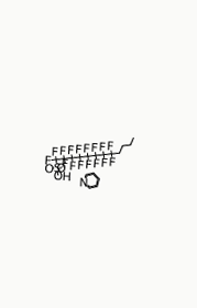 CCCCC(F)(F)C(F)(F)C(F)(F)C(F)(F)C(F)(F)C(F)(F)C(F)(F)C(F)(F)S(=O)(=O)O.c1ccncc1